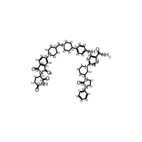 NC(=O)c1nnc(N2CCCC(N3CCN(c4ccccc4)C3=O)C2)nc1Nc1ccc(C2CCN(CC3CCN(c4ccc5c(c4)C(=O)N(C4CCC(=O)NC4=O)C5=O)CC3)CC2)cc1